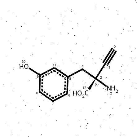 C#C[C@](N)(Cc1cccc(O)c1)C(=O)O